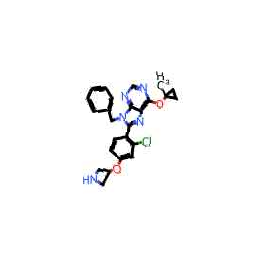 CC1(Oc2ncnc3c2nc(-c2ccc(OC4CNC4)cc2Cl)n3Cc2ccccc2)CC1